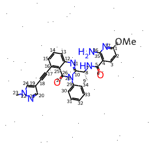 COc1ccc(C(=O)N[C@H](C)c2nc3cccc(C#Cc4cnn(C)c4)c3c(=O)n2-c2ccccc2)c(N)n1